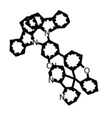 N#Cc1cc(-n2c3ccccc3c3ccccc32)c(-n2c3ccccc3c3ccccc32)cc1-c1ccc2c(c1)C1(c3ccccc3O2)c2cccnc2-c2ncccc21